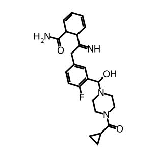 N=C(Cc1ccc(F)c(C(O)N2CCN(C(=O)C3CC3)CC2)c1)C1C=CC=CC1C(N)=O